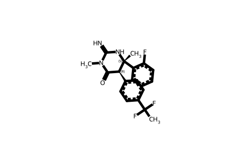 CN1C(=N)N[C@](C)(c2ccccc2F)[C@@H](c2ccc(C(C)(F)F)cc2)C1=O